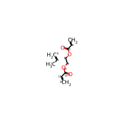 C=CC.C=CC(=O)OCCOC(=O)C=C